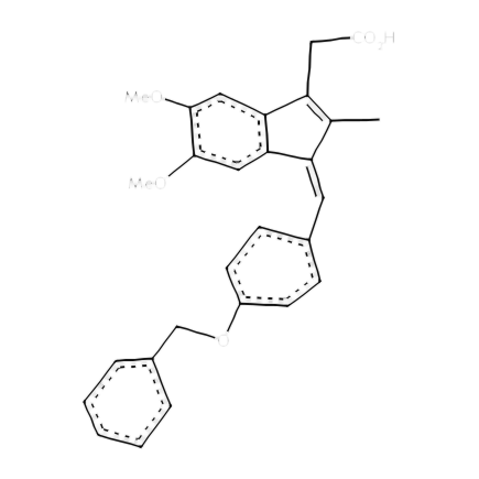 COc1cc2c(cc1OC)/C(=C\c1ccc(OCc3ccccc3)cc1)C(C)=C2CC(=O)O